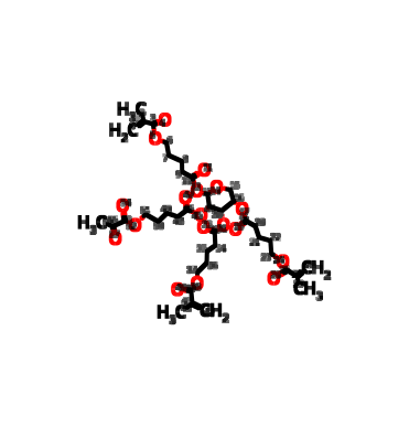 C=C(C)C(=O)OCCCCC(=O)OC1OC[C@@H](OC(=O)CCCCOC(=O)C(=C)C)[C@H](OC(=O)CCCCOC(=O)C(=C)C)[C@H]1OC(=O)CCCCOC(=O)C(C)=O